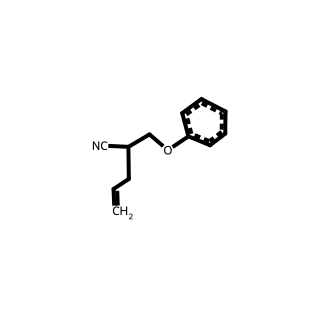 C=CCC(C#N)COc1ccccc1